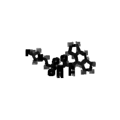 O=C(Nc1c2c(cc3c1CCC3)CCC2)NS(=O)(=O)CCN1CC(F)C1